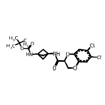 CC(C)(C)OC(=O)NC12CC(NC(=O)C3COc4cc(Cl)c(Cl)cc4O3)(C1)C2